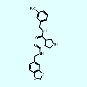 O=C(NCc1cccc(C(F)(F)F)c1)C1CNC[C@@H]1C(=O)NCc1ccc2c(c1)OCO2